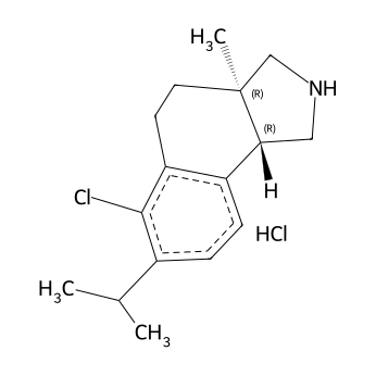 CC(C)c1ccc2c(c1Cl)CC[C@@]1(C)CNC[C@H]21.Cl